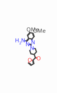 COc1cc2nc(N3CCC(C(=O)c4ccco4)CC3)nc(N)c2cc1OC